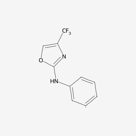 FC(F)(F)c1coc(Nc2c[c]ccc2)n1